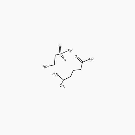 CC(N)CCCC(=O)O.O=S(=O)(O)CCO